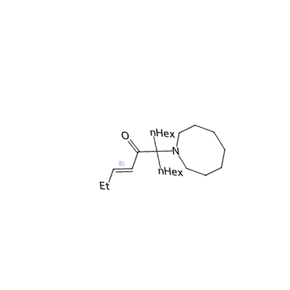 CC/C=C/C(=O)C(CCCCCC)(CCCCCC)N1CCCCCCC1